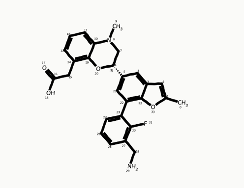 Cc1cc2cc([C@H]3CN(C)c4cccc(CC(=O)O)c4O3)cc(-c3cccc(CN)c3F)c2o1